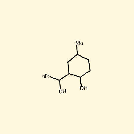 CCCC(O)C1CC(C(C)(C)C)CCC1O